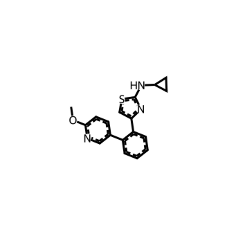 COc1ccc(-c2ccccc2-c2csc(NC3CC3)n2)cn1